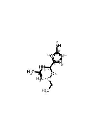 C=C(C)NC(OOCC)c1nnc(S)o1